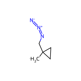 [CH2]C1(CN=[N+]=[N-])CC1